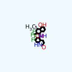 CC[C@H]1C[C@](O)(C(F)(F)F)[C@@H](Nc2cc(F)cc3[nH]c(=O)ccc23)c2cccc(O)c21